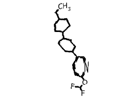 CCC1CCC(C2CCC(c3ccc(OC(F)F)nc3)CC2)CC1